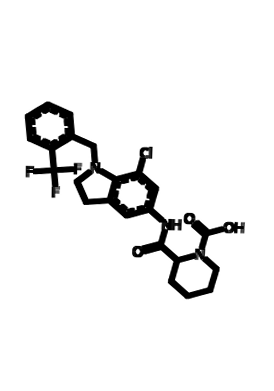 O=C(Nc1cc(Cl)c2c(c1)CCN2Cc1ccccc1C(F)(F)F)C1CCCCN1C(=O)O